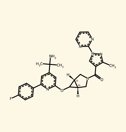 Cc1nn(-c2ncccn2)cc1C(=O)N1C[C@@H]2C(Oc3cc(C(C)(C)N)cc(-c4ccc(F)cc4)n3)[C@@H]2C1